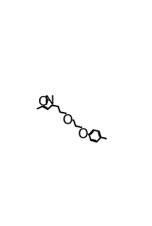 Cc1ccc(OCCCOCCCc2cc(C)on2)cc1